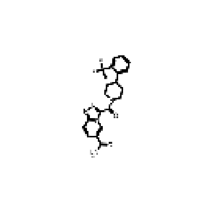 NC(=O)c1ccc2nnc(C(=O)N3CCC(c4ccccc4C(F)(F)F)CC3)n2c1